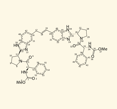 COC(=O)N[C@@H](C(=O)N1CCC[C@H]1c1nc2cc(CC=Cc3ccc4nc([C@@H]5CCCN5C(=O)[C@H](NC(=O)OC)c5ccccc5)[nH]c4c3)ccc2[nH]1)c1ccccc1